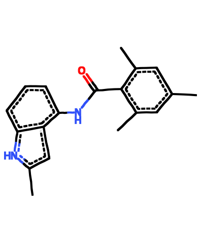 Cc1cc(C)c(C(=O)Nc2cccc3[nH]c(C)cc23)c(C)c1